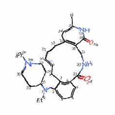 CCN(c1cccc2c1C/C=C/CCc1cc(C)[nH]c(=O)c1CNC2=O)C1CCN(C(C)C)CC1